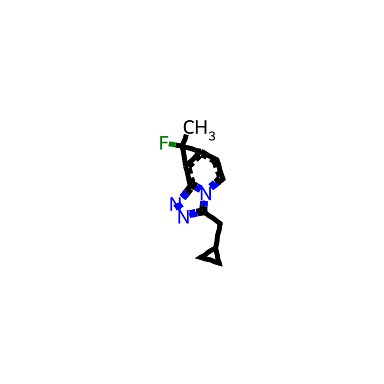 CC1(F)c2ccn3c(CC4CC4)nnc3c21